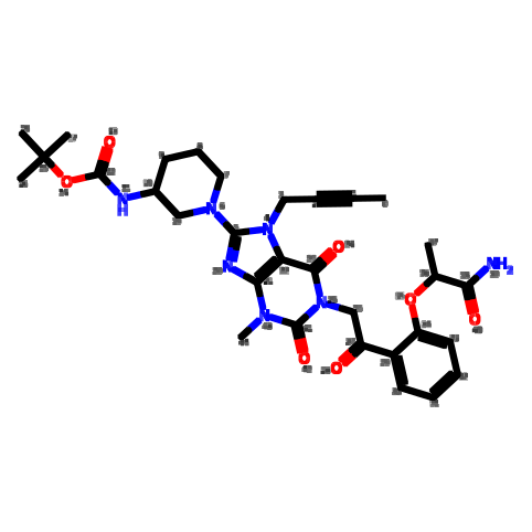 CC#CCn1c(N2CCCC(NC(=O)OC(C)(C)C)C2)nc2c1c(=O)n(CC(=O)c1ccccc1OC(C)C(N)=O)c(=O)n2C